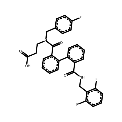 O=C(O)CCN(Cc1ccc(F)cc1)C(=O)c1ccccc1-c1ccccc1C(=O)NCc1c(F)cccc1F